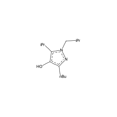 CCCCc1nn(CC(C)C)c(C(C)C)c1O